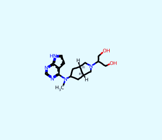 CN(c1ncnc2[nH]ccc12)C1C[C@@H]2CN(C(CO)CO)C[C@@H]2C1